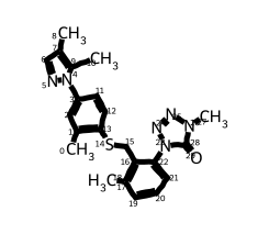 Cc1cc(-n2ncc(C)c2C)ccc1SCc1c(C)cccc1-n1nnn(C)c1=O